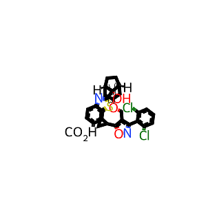 O=C(O)c1ccc2nc([C@@]3(O)[C@@H]4CC[C@H]3C[C@H](OCc3c(-c5c(Cl)cccc5Cl)noc3C3CC3)C4)sc2c1